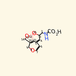 O=C(O)NCC1C=C2C=COCC3=C2B(OC3)O1